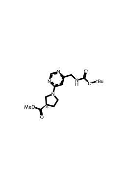 COC(=O)[C@@H]1CCN(c2cc(CNC(=O)OC(C)(C)C)ncn2)C1